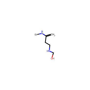 C=C(CCNCO)NCC